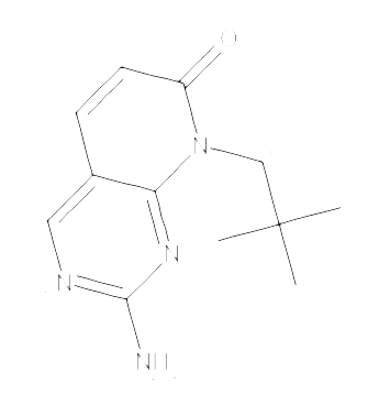 CC(C)(C)Cn1c(=O)ccc2cnc(N)nc21